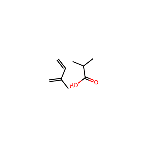 C=CC(=C)C.CC(C)C(=O)O